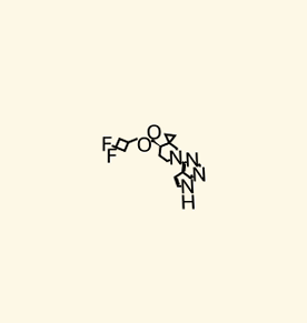 O=C(OCC1CC(F)(F)C1)[C@@H]1CCN(c2ncnc3[nH]ccc23)CC12CC2